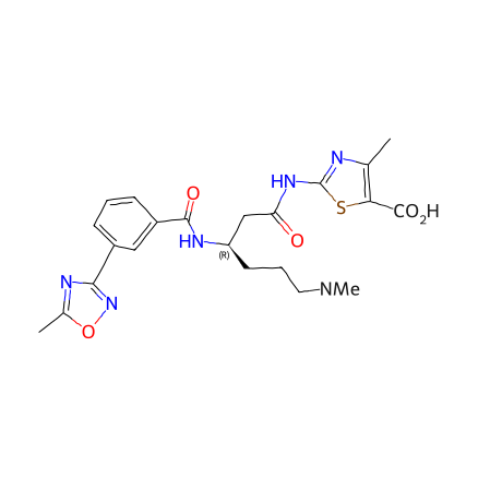 CNCCC[C@H](CC(=O)Nc1nc(C)c(C(=O)O)s1)NC(=O)c1cccc(-c2noc(C)n2)c1